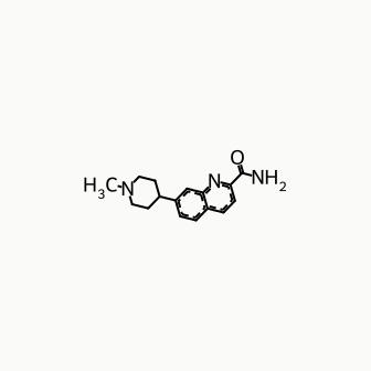 CN1CCC(c2ccc3ccc(C(N)=O)nc3c2)CC1